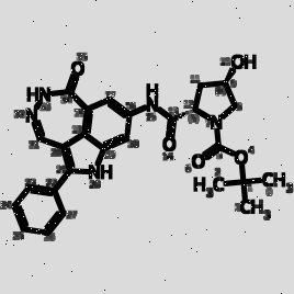 CC(C)(C)OC(=O)N1C[C@H](O)C[C@H]1C(=O)Nc1cc2c3c(c(-c4ccccc4)[nH]c3c1)C=NNC2=O